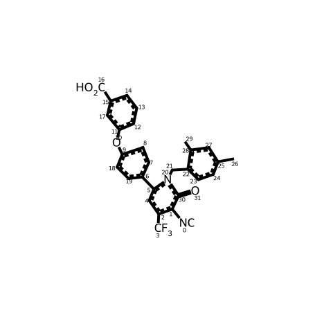 [C-]#[N+]c1c(C(F)(F)F)cc(-c2ccc(Oc3cccc(C(=O)O)c3)cc2)n(Cc2ccc(C)cc2C)c1=O